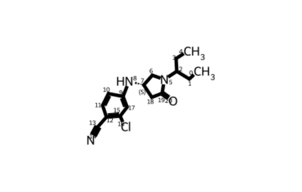 CCC(CC)N1C[C@@H](Nc2ccc(C#N)c(Cl)c2)CC1=O